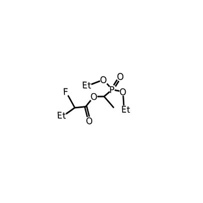 CCOP(=O)(OCC)C(C)OC(=O)C(F)CC